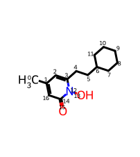 Cc1cc(CCC2CCCCC2)n(O)c(=O)c1